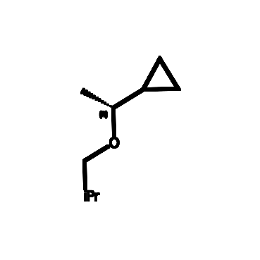 CC(C)CO[C@H](C)C1CC1